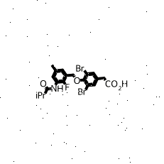 Cc1cc(COc2c(Br)cc(CC(=O)O)cc2Br)c(F)c(NC(=O)C(C)C)c1